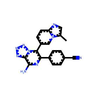 Cc1cnc2ccc(-c3c(-c4ccc(C#N)cc4)nc(N)c4nnnn34)cn12